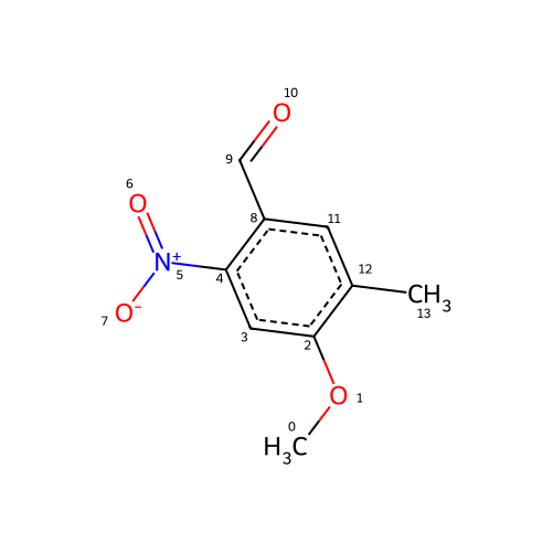 COc1cc([N+](=O)[O-])c(C=O)cc1C